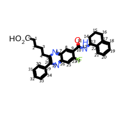 O=C(O)CCCCc1nc2cc(C(=O)NC3CCCc4ccccc43)c(F)cc2nc1-c1ccccc1